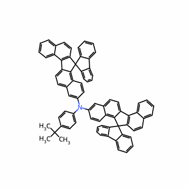 CC(C)(C)c1ccc(N(c2ccc3c4c(ccc3c2)-c2c(ccc3ccccc23)C42c3ccccc3-c3ccccc32)c2ccc3c4c(ccc3c2)-c2c(ccc3ccccc23)C42c3ccccc3-c3ccccc32)cc1